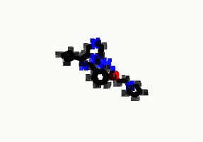 N[N+]12C=CN=CC1=C(C1=CC=C1)N=C2c1cccc(OCCN2CCCC2)c1